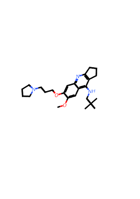 COc1cc2c(NCC(C)(C)C)c3c(nc2cc1OCCCN1CCCC1)CCC3